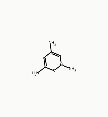 NC1=CN(N)SC(N)=C1